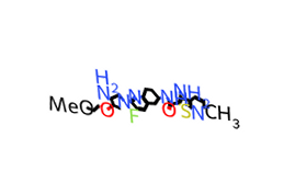 COCCOC1CN(c2nc3c(cc2F)CC(NC(=O)c2sc4nc(C)ccc4c2N)CC3)CC1N